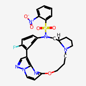 O=[N+]([O-])c1ccccc1S(=O)(=O)N1C[C@@H]2CCCN2CCCOc2ccn3ncc(c3n2)-c2cc1ccc2F